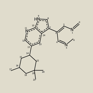 C=N/C=C(\C=N/C)c1c[nH]c2ncc(C3CC(C)CC(C)(C)C3)cc12